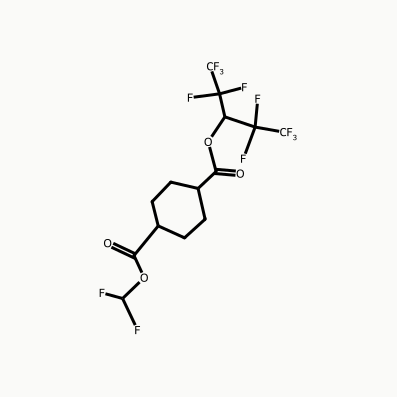 O=C(OC(F)F)C1CCC(C(=O)OC(C(F)(F)C(F)(F)F)C(F)(F)C(F)(F)F)CC1